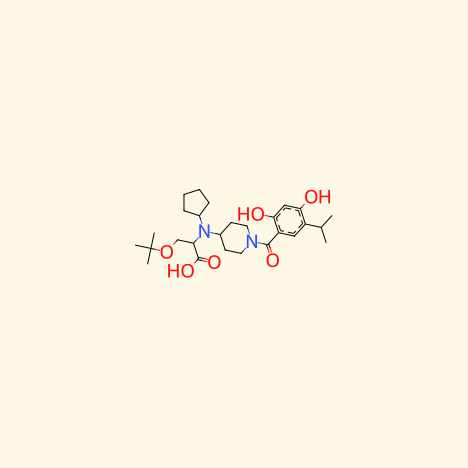 CC(C)c1cc(C(=O)N2CCC(N(C3CCCC3)C(COC(C)(C)C)C(=O)O)CC2)c(O)cc1O